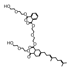 CC(C)=CCC/C(C)=C/CCC1=CCC(C(=O)OCCOCCO)C(C(=O)OCCOCCOC(=O)c2ccccc2C(=O)OCCOCCO)C1